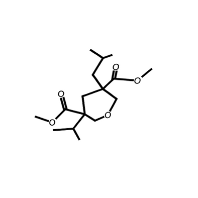 COC(=O)C1(CC(C)C)COCC(C(=O)OC)(C(C)C)C1